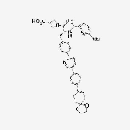 CC(C)(C)c1ccc(C(=O)N[C@@H](Cc2ccc(-c3ncc(-c4ccc(C5CCC6(CC5)OCCO6)cc4)cn3)cc2)C(=O)N2CC(C(=O)O)C2)s1